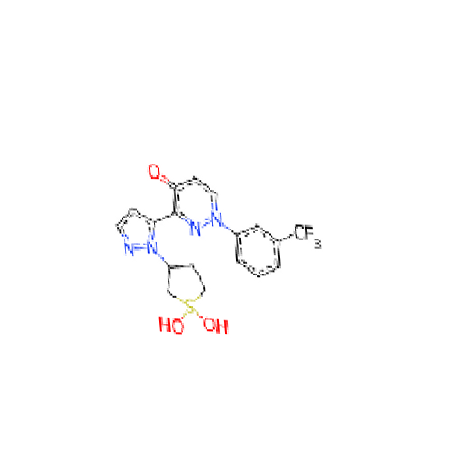 O=c1ccn(-c2cccc(C(F)(F)F)c2)nc1-c1ccnn1C1CCS(O)(O)C1